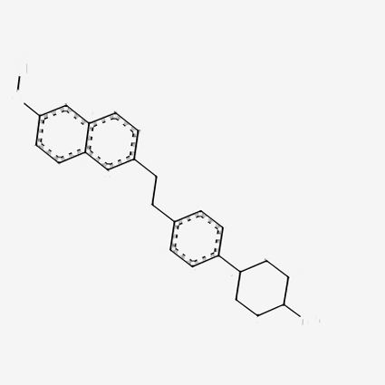 CCCCCC1CCC(c2ccc(CCc3ccc4cc(OC(F)(F)F)ccc4c3)cc2)CC1